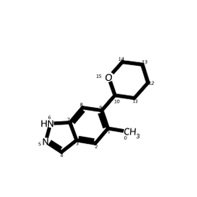 Cc1cc2cn[nH]c2cc1C1CCCCO1